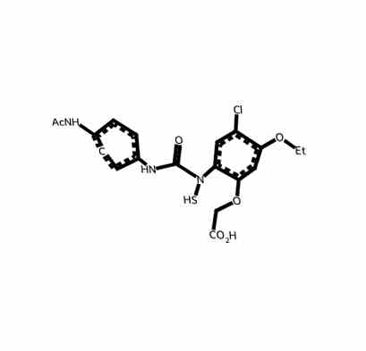 CCOc1cc(OCC(=O)O)c(N(S)C(=O)Nc2ccc(NC(C)=O)cc2)cc1Cl